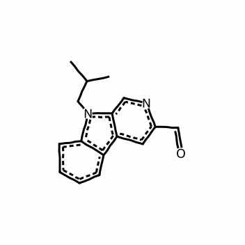 CC(C)Cn1c2ccccc2c2cc(C=O)ncc21